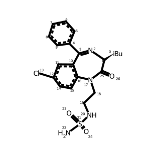 CC[C@H](C)C1N=C(c2ccccc2)c2cc(Cl)ccc2N(CCNS(N)(=O)=O)C1=O